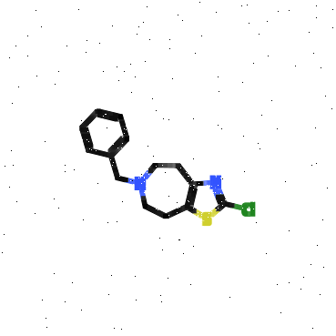 Clc1nc2c(s1)CCN(Cc1ccccc1)CC2